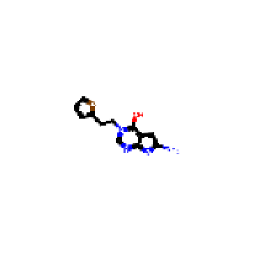 Nc1cc2c(O)n(CCc3cccs3)cnc-2n1